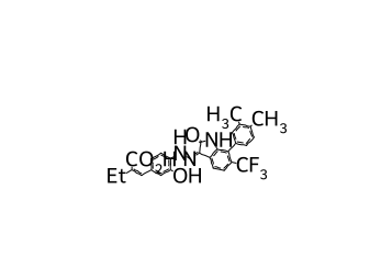 CCC(=Cc1ccc(NN=C2C(=O)Nc3c2ccc(C(F)(F)F)c3-c2ccc(C)c(C)c2)c(O)c1)C(=O)O